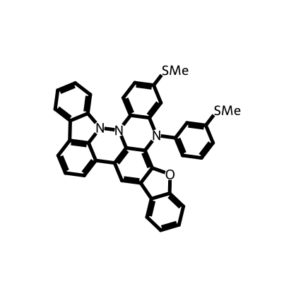 CSc1cccc(-n2c3cc(SC)ccc3n3n4c5ccccc5c5cccc(c6cc7c8ccccc8oc7c2c6-3)c54)c1